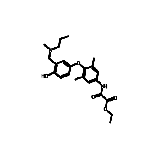 CCCN(C)Cc1cc(Oc2c(C)cc(NC(=O)C(=O)OCC)cc2C)ccc1O